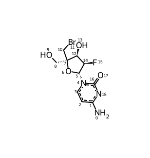 Nc1ccn([C@@H]2O[C@@](CO)(CBr)[C@@H](O)[C@H]2F)c(=O)n1